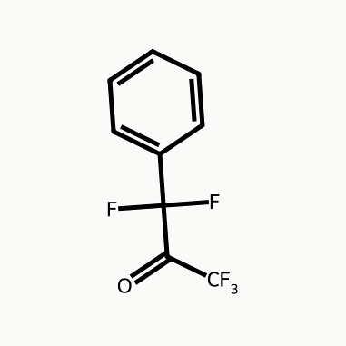 O=C(C(F)(F)F)C(F)(F)c1ccccc1